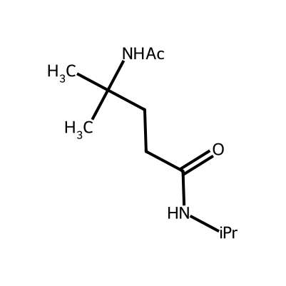 CC(=O)NC(C)(C)CCC(=O)NC(C)C